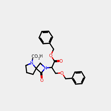 O=C(OCc1ccccc1)C(COCc1ccccc1)N1CC2(CCCN2C(=O)O)C1=O